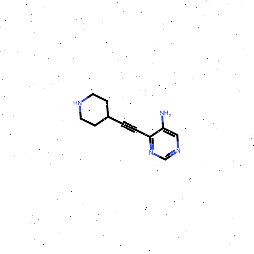 Nc1cncnc1C#CC1CCNCC1